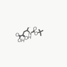 [CH2]C(CC(=O)C(=O)O)NC(=O)OC(C)(C)C